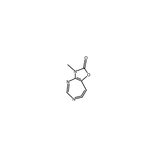 Cn1c2c(oc1=O)C=C=NC=N2